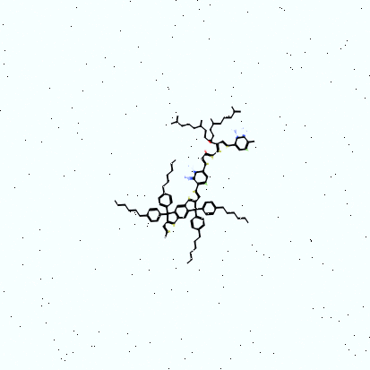 CCCCCCc1ccc(C2(c3ccc(CCCCCC)cc3)c3cc4c(cc3-c3sc(C)cc32)C(c2ccc(CCCCCC)cc2)(c2ccc(CCCCCC)cc2)c2cc(-c3c(F)cc(-c5cc6c(s5)-c5sc(-c7cc(F)c(C)c8nsnc78)cc5C(CCC(C)CCCC(C)C)(CCC(C)CCCC(C)C)O6)c5nsnc35)sc2-4)cc1